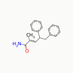 CC(=CC(Cc1ccccc1)c1ccccc1)C(N)=O